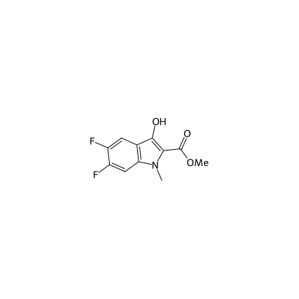 COC(=O)c1c(O)c2cc(F)c(F)cc2n1C